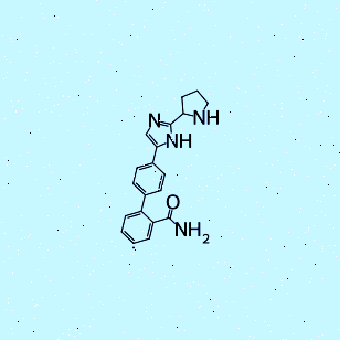 NC(=O)c1c[c]ccc1-c1ccc(-c2cnc(C3CCCN3)[nH]2)cc1